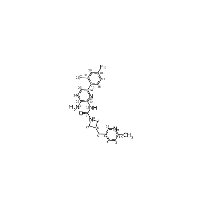 Cc1ccc(CC2CN(C(=O)Nc3nc(-c4ccc(F)cc4F)ccc3N)C2)cn1